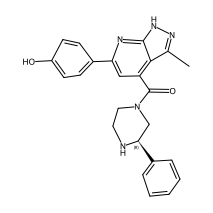 Cc1n[nH]c2nc(-c3ccc(O)cc3)cc(C(=O)N3CCN[C@H](c4ccccc4)C3)c12